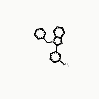 Nc1cccc(-c2nc3ccccc3n2Cc2ccccc2)c1